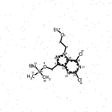 CCOCCn1nc(CO[Si](C)(C)C(C)(C)C)c2nc(Cl)nc(Cl)c21